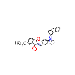 O=C(O)c1ccc2c(c1)C(=O)/C(=C/c1ccc3c(c1)C1CCCC1N3c1ccc3c(c1)-c1ccccc1C3)C2=O